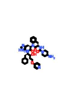 NC1CCN(C(=O)N[C@@H](Cc2ccccc2)C(=O)N[C@@H](Cc2c[nH]cn2)C(=O)N[C@@H](CC2CCCCC2)[C@@H](O)CCOc2ccncc2)CC1